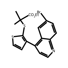 CCOC(=O)C(C)(C)Sc1sccc1-c1ccnc2ccc(Br)cc12